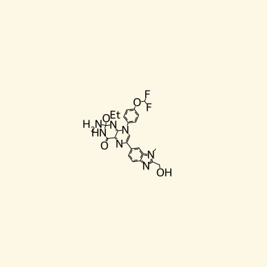 CCOC1(N)N=C2C(=NC(c3ccc4nc(CO)n(C)c4c3)=CN2c2ccc(OC(F)F)cc2)C(=O)N1